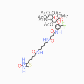 COC(=O)C1(Oc2ccc(NC(=O)CCC(=O)NCCCCCCNC(=O)CCCCC3SCC4NC(=O)NC43)cc2C(F)F)CC(OC(C)=O)[C@@H](NC(C)=O)C([C@H](OC(C)=O)[C@@H](COC(C)=O)OC(C)=O)O1